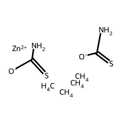 C.C.C.C.NC([O-])=S.NC([O-])=S.[Zn+2]